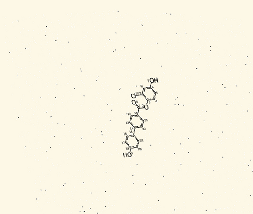 O=C(Oc1ccc(O)cc1Cl)c1ccc(-c2ccc(O)cc2)cc1